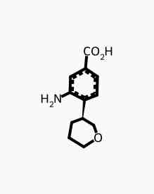 Nc1cc(C(=O)O)ccc1[C@@H]1CCCOC1